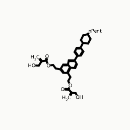 C=C(CO)C(=O)OCCc1cc(CCOC(=O)C(=C)CO)c2ccc(-c3ccc(C4CCC(CCCCC)CC4)cc3)cc2c1